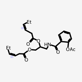 CC/C=C\CC(=O)OCC(CNC(=O)c1ccccc1OC(C)=O)OC(=O)C/C=C\CC